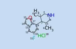 CC1CNCC(C)C1c1cc(F)cc2ccoc12.Cl